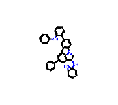 C1=CC2NC2(NC2Cn3c4ccc(-c5ccccc5Nc5ccccc5)cc4c4cc(-c5ccccc5)cc2c43)C=C1